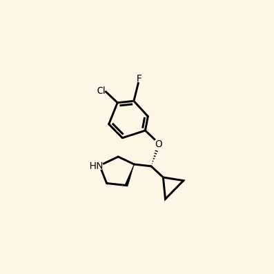 Fc1cc(O[C@H](C2CC2)[C@H]2CCNC2)ccc1Cl